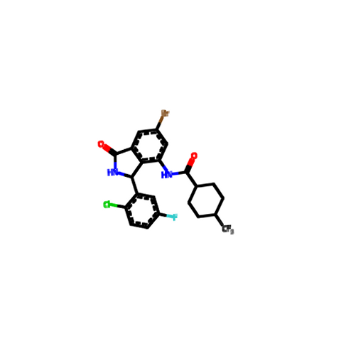 O=C1NC(c2cc(F)ccc2Cl)c2c(NC(=O)C3CCC(C(F)(F)F)CC3)cc(Br)cc21